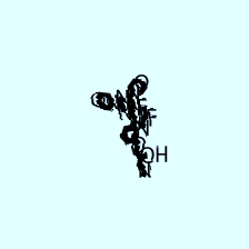 CN(C)CC(O)COc1cccc2c1nc(C(F)F)n2-c1nc(N2CCOCC2)nc(N2CCOCC2)n1